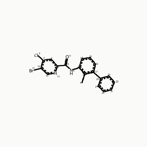 Cc1c(NC(=O)c2cc(Cl)c(Br)cn2)cccc1-c1ccccc1